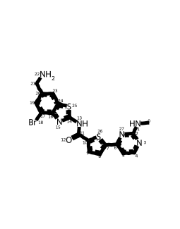 CNc1nccc(-c2ccc(C(=O)Nc3nc4c(Br)cc(CN)cc4s3)s2)n1